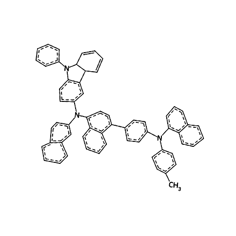 Cc1ccc(N(c2ccc(-c3ccc(N(c4ccc5c(c4)C4C=CC=CC4N5c4ccccc4)c4ccc5ccccc5c4)c4ccccc34)cc2)c2cccc3ccccc23)cc1